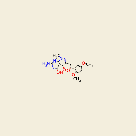 COc1ccc(OC)c(C(=O)Cc2nn(C)c3nc(N)nc(O)c3c2=O)c1